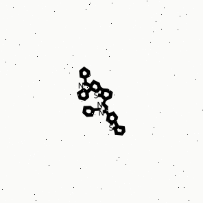 c1ccc(-c2nc(-c3ccc4c(c3)sc3ccccc34)cc(-c3cccc4c3sc3c4ccc4c(-c5ccccc5)nc5ccccc5c43)n2)cc1